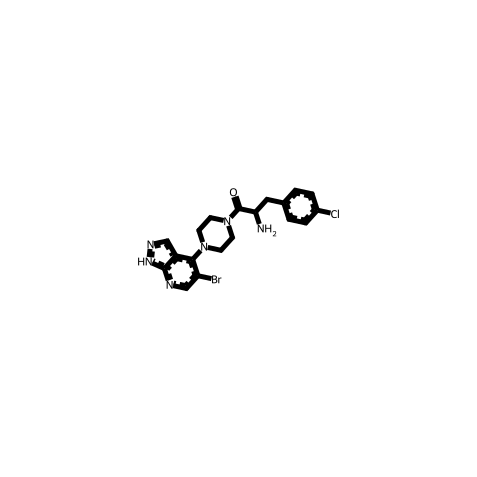 NC(Cc1ccc(Cl)cc1)C(=O)N1CCN(c2c(Br)cnc3[nH]ncc23)CC1